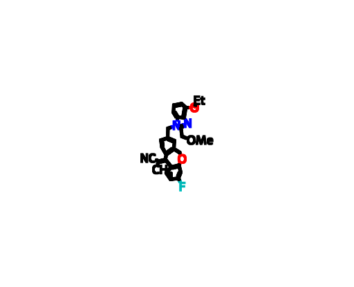 CCOc1cccc2c1nc(COC)n2Cc1ccc2c(c1)COc1cc(F)ccc1C2=C(C)C#N